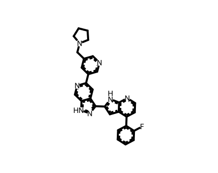 Fc1ccccc1-c1ccnc2[nH]c(-c3n[nH]c4cnc(-c5cncc(CN6CCCC6)c5)cc34)cc12